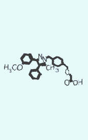 COc1cccc(-c2nn(CC3CCC(COCC(=O)O)CC3)c(C)c2-c2ccccc2)c1